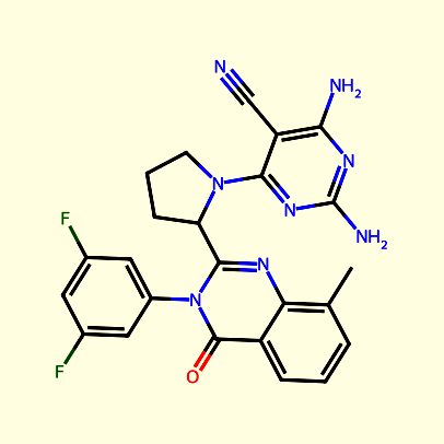 Cc1cccc2c(=O)n(-c3cc(F)cc(F)c3)c(C3CCCN3c3nc(N)nc(N)c3C#N)nc12